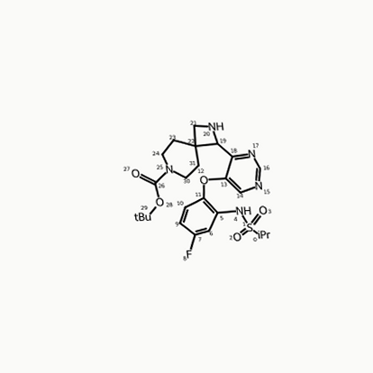 CC(C)S(=O)(=O)Nc1cc(F)ccc1Oc1cncnc1C1NCC12CCN(C(=O)OC(C)(C)C)CC2